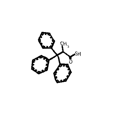 CC(C(=O)S)C(c1ccccc1)(c1ccccc1)c1ccccc1